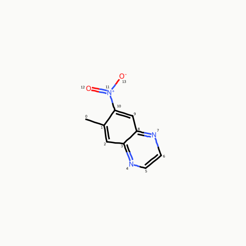 Cc1cc2nccnc2cc1[N+](=O)[O-]